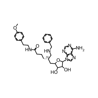 COc1ccc(CCNC(=O)CCC[C@H](CNCc2ccccc2)CC2OC(n3cnc4c(N)ncnc43)C(O)C2O)cc1